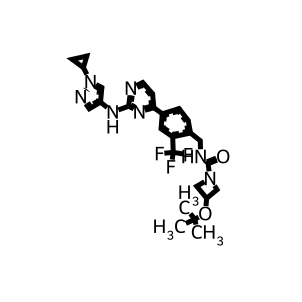 CC(C)(C)OC1CN(C(=O)NCc2ccc(-c3ccnc(Nc4cnn(C5CC5)c4)n3)cc2C(F)(F)F)C1